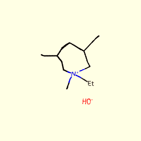 CC[N+]1(C)CC(C)CC(C)C1.[OH-]